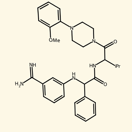 COc1ccccc1N1CCN(C(=O)C(NC(=O)C(Nc2cccc(C(=N)N)c2)c2ccccc2)C(C)C)CC1